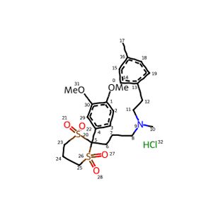 COc1ccc(C2(CCCN(C)CCc3ccc(C)cc3)S(=O)(=O)CCCS2(=O)=O)cc1OC.Cl